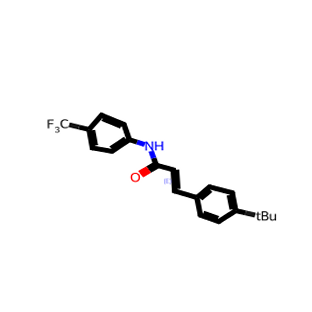 CC(C)(C)c1ccc(/C=C/C(=O)Nc2ccc(C(F)(F)F)cc2)cc1